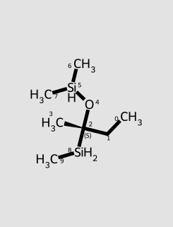 CC[C@@](C)(O[SiH](C)C)[SiH2]C